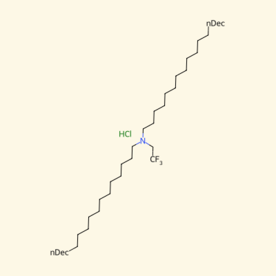 CCCCCCCCCCCCCCCCCCCCCCN(CCCCCCCCCCCCCCCCCCCCCC)CC(F)(F)F.Cl